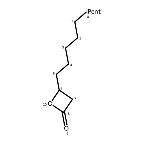 CCCC(C)CCCCCC1CC(=O)O1